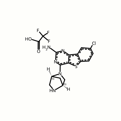 Nc1nc(N2C[C@@H]3C[C@H]2CN3)c2sc3ccc(Cl)cc3c2n1.O=C(O)C(F)(F)F